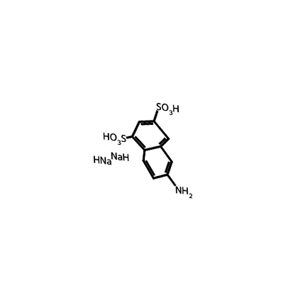 Nc1ccc2c(S(=O)(=O)O)cc(S(=O)(=O)O)cc2c1.[NaH].[NaH]